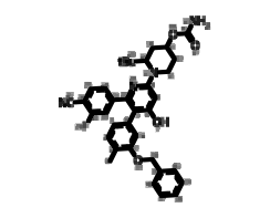 Cc1ccc(-c2c(O)cc(N3CCC(OC(N)=O)CC3C(C)(C)C)nc2-c2ccc(C#N)c(F)c2)cc1OCc1ccccc1